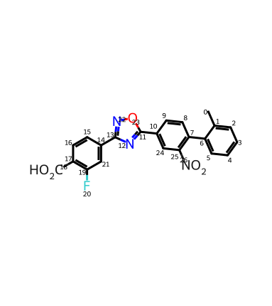 Cc1ccccc1-c1ccc(-c2nc(-c3ccc(C(=O)O)c(F)c3)no2)cc1[N+](=O)[O-]